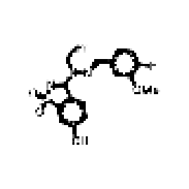 COc1cc(/C=N/N(CC(C)C)C2=NS(=O)(=O)c3cc(O)ccc32)ccc1F